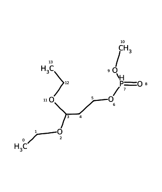 CCOC(CCO[PH](=O)OC)OCC